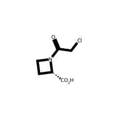 O=C(O)[C@@H]1CCN1C(=O)CCl